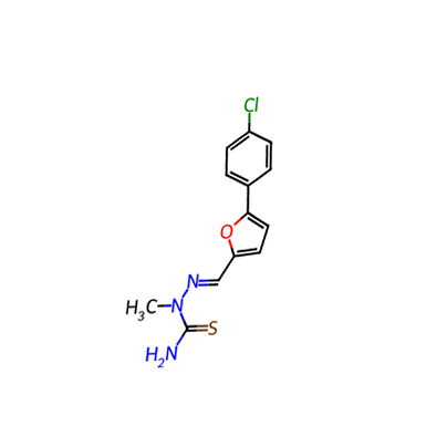 CN(N=Cc1ccc(-c2ccc(Cl)cc2)o1)C(N)=S